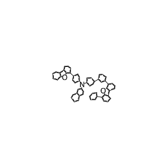 c1ccc(-c2cccc3c2oc2c(-c4cccc(-c5ccc(N(c6ccc(-c7cccc8c7oc7ccccc78)cc6)c6ccc7ccccc7c6)cc5)c4)cccc23)cc1